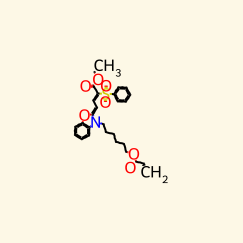 C=CC(=O)OCCCCCCN1/C(=C/C=C(/C(=O)OCC)S(=O)(=O)c2ccccc2)Oc2ccccc21